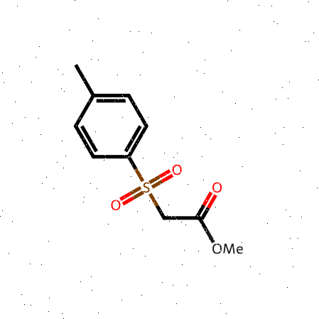 COC(=O)CS(=O)(=O)c1ccc(C)cc1